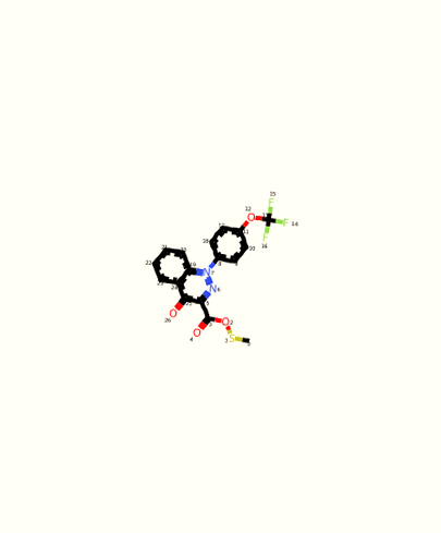 CSOC(=O)c1nn(-c2ccc(OC(F)(F)F)cc2)c2ccccc2c1=O